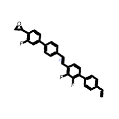 C=Cc1ccc(-c2ccc(/C=C/c3ccc(-c4ccc(C5CO5)c(F)c4)cc3)c(F)c2F)cc1